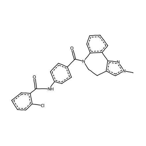 Cn1cc2c(n1)-c1ccccc1N(C(=O)c1ccc(NC(=O)c3ccccc3Cl)cc1)CC2